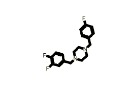 Fc1ccc(CN2CCN(Cc3ccc(F)c(F)c3)CC2)cc1